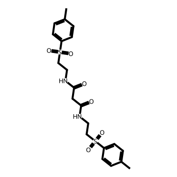 Cc1ccc(S(=O)(=O)CCNC(=O)CC(=O)NCCS(=O)(=O)c2ccc(C)cc2)cc1